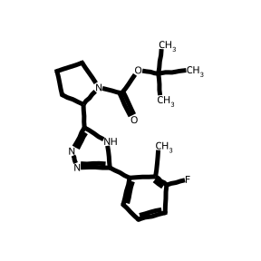 Cc1c(F)cccc1-c1nnc(C2CCCN2C(=O)OC(C)(C)C)[nH]1